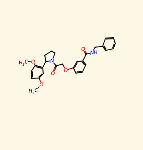 COc1ccc(OC)c(C2CCCN2C(=O)COc2cccc(C(=O)NCc3ccccc3)c2)c1